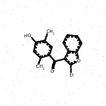 CCc1oc2ccccc2c1C(=O)c1cc(C)c(O)cc1C